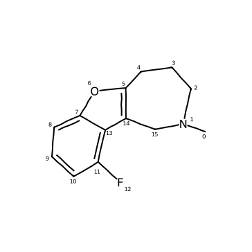 CN1CCCc2oc3cccc(F)c3c2C1